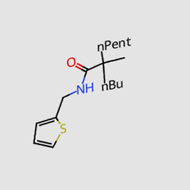 CCCCCC(C)(CCCC)C(=O)NCc1cccs1